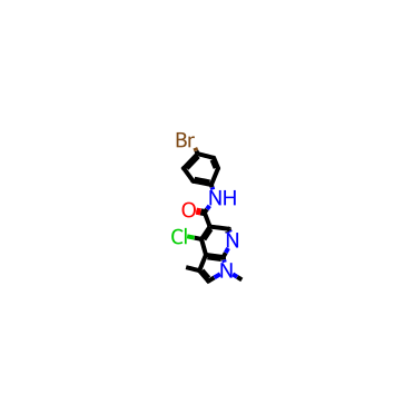 Cc1cn(C)c2ncc(C(=O)Nc3ccc(Br)cc3)c(Cl)c12